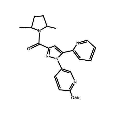 COc1ccc(-n2nc(C(=O)N3C(C)CCC3C)cc2-c2ccccn2)cn1